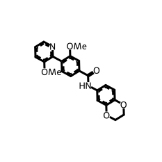 COc1cc(C(=O)Nc2ccc3c(c2)OCCO3)ccc1-c1ncccc1OC